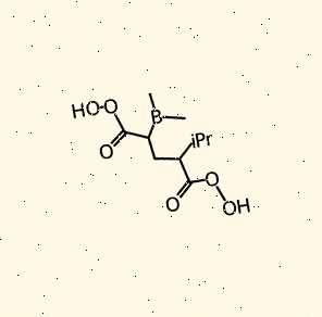 CB(C)C(CC(C(=O)OO)C(C)C)C(=O)OO